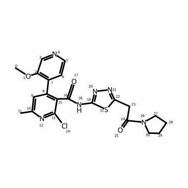 COc1cnccc1-c1cc(C)nc(Cl)c1C(=O)Nc1nnc(CC(=O)N2CCCC2)s1